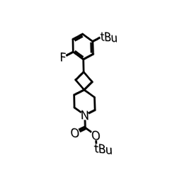 CC(C)(C)OC(=O)N1CCC2(CC1)CC(c1cc(C(C)(C)C)ccc1F)C2